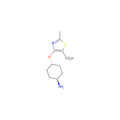 Cc1nc(O[C@H]2CC[C@H](N)CC2)c(C(=O)O)s1